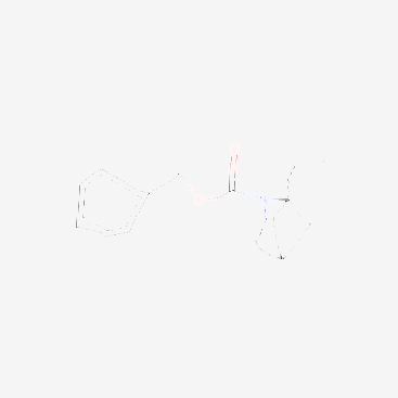 O=CC12CC(CN1C(=O)OCc1ccccc1)C2